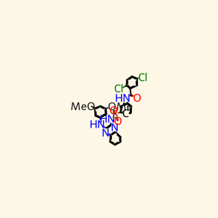 COc1cc(Nc2nc3ccccc3nc2NS(=O)(=O)c2cccc(NC(=O)c3cc(Cl)ccc3Cl)c2)cc(OC)c1